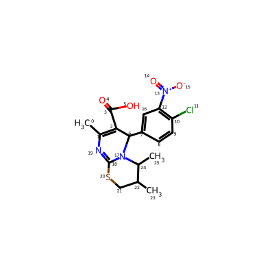 CC1=C(C(=O)O)C(c2ccc(Cl)c([N+](=O)[O-])c2)N2C(=N1)SCC(C)C2C